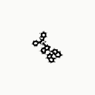 c1ccc(-c2nc(-c3ccc(-n4c5ccc6cccc7sc8cccc9ccc4c(c98)c5c67)c4ccccc34)nc3c2sc2ccccc23)cc1